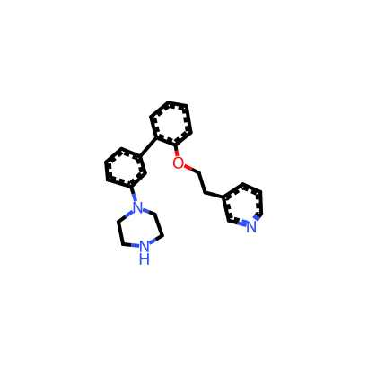 c1cncc(CCOc2ccccc2-c2cccc(N3CCNCC3)c2)c1